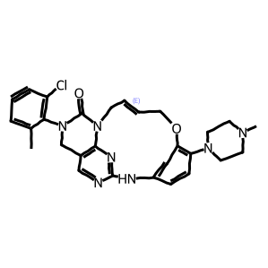 Cc1cc#cc(Cl)c1N1Cc2cnc3nc2N(C/C=C/COc2cc(ccc2N2CCN(C)CC2)N3)C1=O